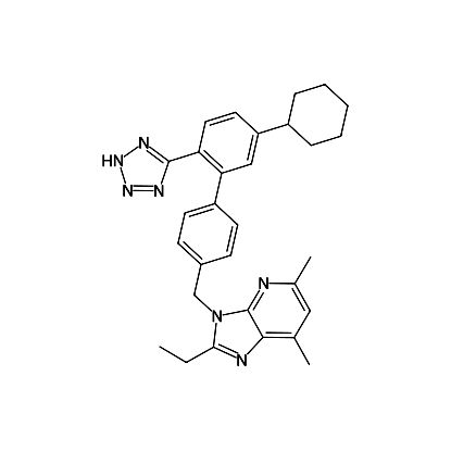 CCc1nc2c(C)cc(C)nc2n1Cc1ccc(-c2cc(C3CCCCC3)ccc2-c2nn[nH]n2)cc1